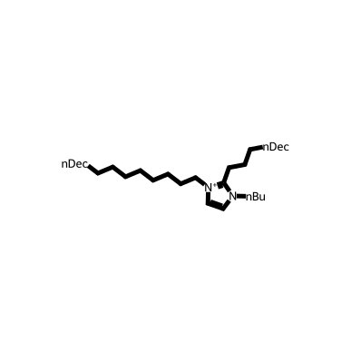 CCCCCCCCCCCCCCCCCC[n+]1ccn(CCCC)c1CCCCCCCCCCCCC